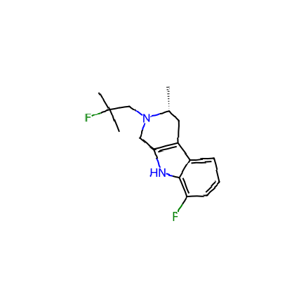 C[C@@H]1Cc2c([nH]c3c(F)cccc23)CN1CC(C)(C)F